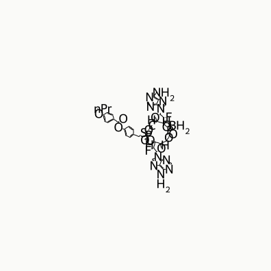 B[P@]1(=O)OC[C@H]2O[C@@H](n3cnc4c(N)ncnc43)[C@H](F)[C@@H]2O[P@@](=O)(SCc2ccc(OC(=O)c3ccc(OCCC)cc3)cc2)OC[C@H]2O[C@@H](n3cnc4c(N)ncnc43)[C@H](F)[C@@H]2O1